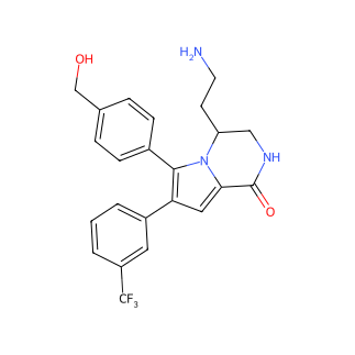 NCCC1CNC(=O)c2cc(-c3cccc(C(F)(F)F)c3)c(-c3ccc(CO)cc3)n21